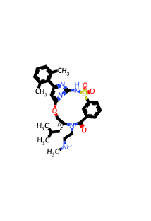 CNCCN1C(=O)c2cccc(c2)S(=O)(=O)Nc2nc(cc(-c3c(C)cccc3C)n2)OC[C@H]1CC(C)C